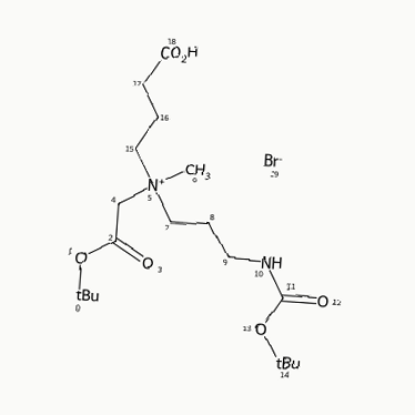 CC(C)(C)OC(=O)C[N+](C)(CCCNC(=O)OC(C)(C)C)CCCC(=O)O.[Br-]